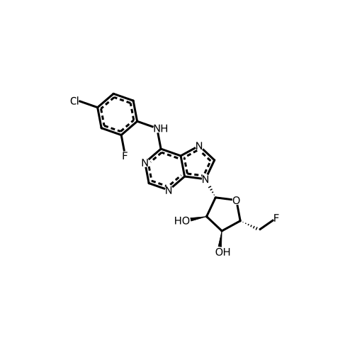 O[C@@H]1[C@H](O)[C@@H](CF)O[C@H]1n1cnc2c(Nc3ccc(Cl)cc3F)ncnc21